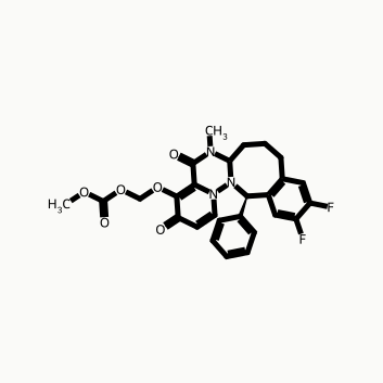 COC(=O)OCOc1c2n(ccc1=O)N1C(CCCc3cc(F)c(F)cc3[C@H]1c1ccccc1)N(C)C2=O